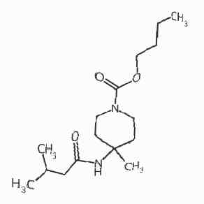 CCCCOC(=O)N1CCC(C)(NC(=O)CC(C)C)CC1